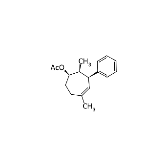 CC(=O)O[C@@H]1CCC(C)=C[C@H](c2ccccc2)[C@@H]1C